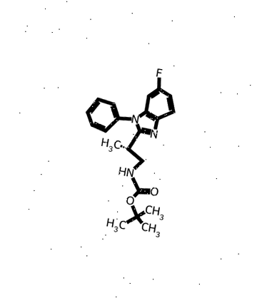 C[C@@H](CNC(=O)OC(C)(C)C)c1nc2ccc(F)cc2n1-c1ccccc1